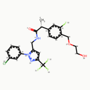 C[C@@H](C(=O)NCc1cc(C(F)(F)F)nn1-c1cccc(Cl)c1)c1ccc(COCCO)c(F)c1